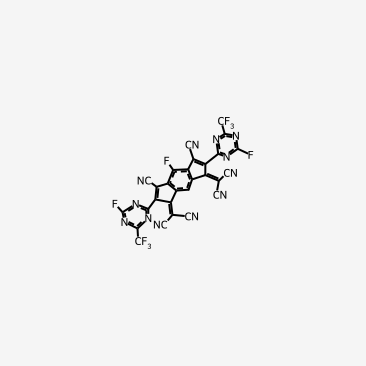 N#CC(C#N)=C1C(c2nc(F)nc(C(F)(F)F)n2)=C(C#N)c2c1cc1c(c2F)C(C#N)=C(c2nc(F)nc(C(F)(F)F)n2)C1=C(C#N)C#N